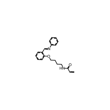 C=CC(=O)NCCCCOc1ccccc1C=Nc1ccccc1